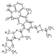 Cc1ccc2[nH]nc(C=O)c2c1-c1c(Cl)cc2c(N3CC(C)N(C(=O)OC(C)(C)C)CC3C)nc(N3CC(N(C)C)C3)nc2c1F